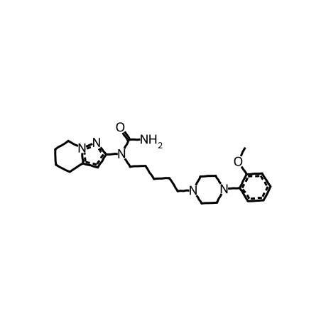 COc1ccccc1N1CCN(CCCCCN(C(N)=O)c2cc3n(n2)CCCC3)CC1